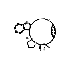 C[C@H]1Cc2ccc(cc2)OCCCc2oc3ccccc3c2C[C@@H]2CCCN2C1=O